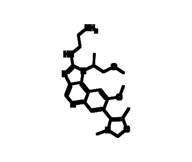 COCC(C)n1c(NCCN)nc2cnc3cc(C4=C(C)OCN4C)c(OC)cc3c21